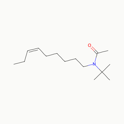 CC/C=C\CCCCCN(C(C)=O)C(C)(C)C